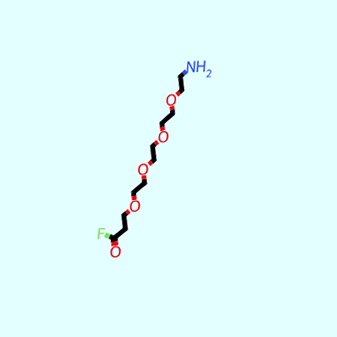 NCCOCCOCCOCCOCCC(=O)F